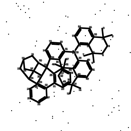 CC1(C)CCC(C)(C)c2c(N(c3cccc4c3-c3cccc(-c5ccccc5)c3C43C4CC5CC6CC3C64C5)c3cccc4c3C(C)(C)CCC4(C)C)cccc21